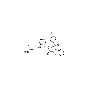 COC(=O)CCNc1ccccc1CNC(=O)[C@@H]1Cc2ccccc2N1S(=O)(=O)c1ccc(I)cc1